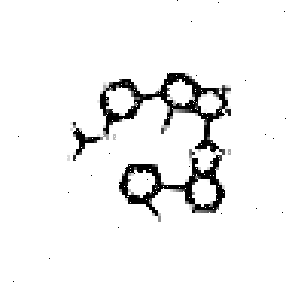 CC(C)C(=O)Nc1cncc(-c2ccc3[nH]nc(-c4nc5c(-c6ccccc6F)nccc5[nH]4)c3c2F)c1